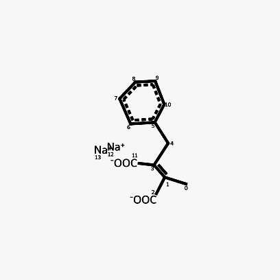 C/C(C(=O)[O-])=C(\Cc1ccccc1)C(=O)[O-].[Na+].[Na+]